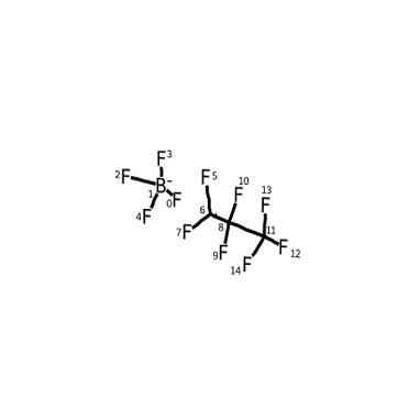 F[B-](F)(F)F.F[C](F)C(F)(F)C(F)(F)F